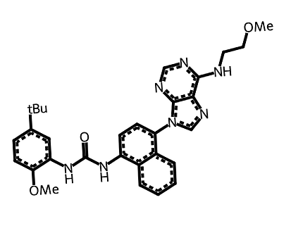 COCCNc1ncnc2c1ncn2-c1ccc(NC(=O)Nc2cc(C(C)(C)C)ccc2OC)c2ccccc12